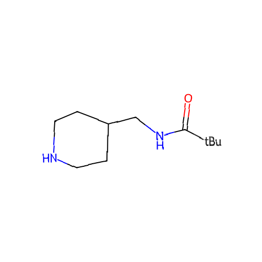 CC(C)(C)C(=O)NCC1CCNCC1